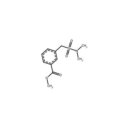 COC(=O)c1cccc(CS(=O)(=O)N(C)C)c1